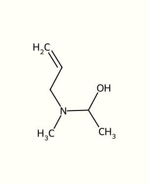 C=CCN(C)C(C)O